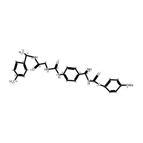 COc1ccc(OC(=O)NC(=N)c2ccc(NC(=O)NCC(=O)NC(C)c3ccc(C)cc3)cc2)cc1